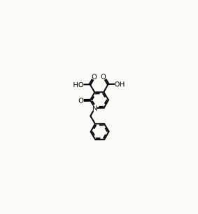 O=C(O)c1ccn(Cc2ccccc2)c(=O)c1C(=O)O